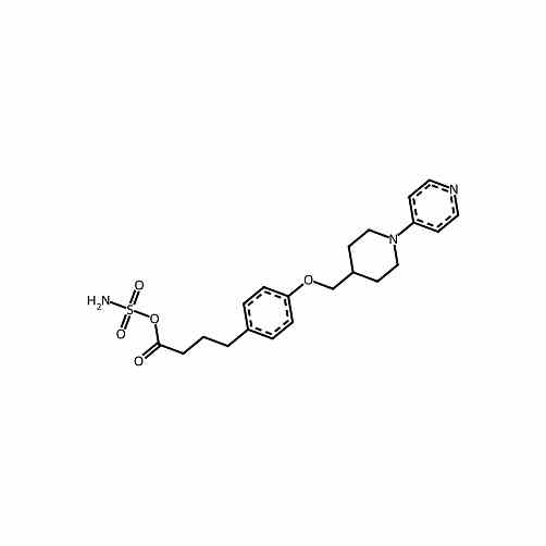 NS(=O)(=O)OC(=O)CCCc1ccc(OCC2CCN(c3ccncc3)CC2)cc1